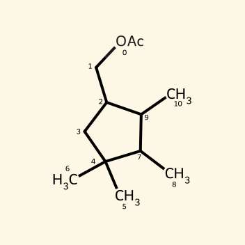 CC(=O)OCC1CC(C)(C)C(C)C1C